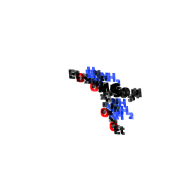 CCOCCNC(=O)N(CCCCCCN(C(=N)N)C(=O)NCCOCC)C(=N)N.CS(=O)(=O)O.CS(=O)(=O)O